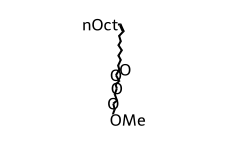 CCCCCCCC/C=C\CCCCCCCC(=O)OCCOCCOCCOC